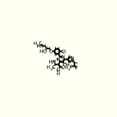 CNC[C@@H](O)COc1ccc(Cl)c(-c2nc(/C(C(C)=N)=C(\C)O)c(C)c(-c3cnn(CC(F)F)c3)n2)c1